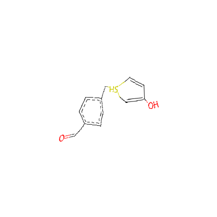 O=Cc1ccc(C[SH]2C=CC(O)=C2)cc1